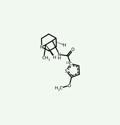 COc1cc[13c](C(=O)N[C@@H]2C3CCN(CC3)[C@H]2C)s1